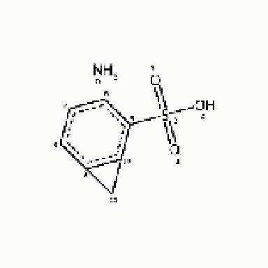 N.O=S(=O)(O)c1cccc2c1C2